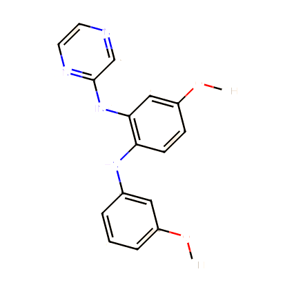 COc1cccc(Nc2ccc(OC)cc2Nc2cnccn2)c1